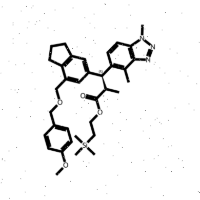 COc1ccc(COCc2cc([C@@H](c3ccc4c(nnn4C)c3C)C(C)C(=O)OCC[Si](C)(C)C)cc3c2CCC3)cc1